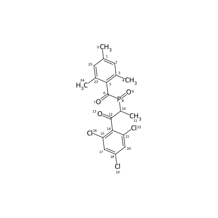 Cc1cc(C)c(C(=O)[P](=O)C(C)C(=O)c2c(Cl)cc(Cl)cc2Cl)c(C)c1